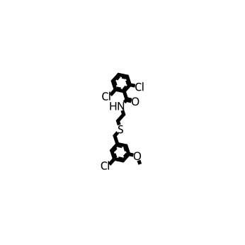 COc1cc(Cl)cc(CSCCNC(=O)c2c(Cl)cccc2Cl)c1